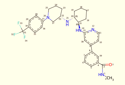 CNC(=O)c1cccc(-c2ccnc(N[C@@H]3CCCC[C@H]3N[C@H]3CCCN(c4ccc(C(F)(F)F)cc4)C3)c2)c1